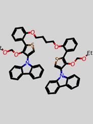 CCOCOc1c(-n2c3ccccc3c3ccccc32)csc1-c1ccccc1OCCCCOc1ccccc1-c1scc(-n2c3ccccc3c3ccccc32)c1OCOCC